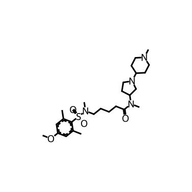 COc1cc(C)c(S(=O)(=O)N(C)CCCCC(=O)N(C)C2CCN(C3CCN(C)CC3)C2)c(C)c1